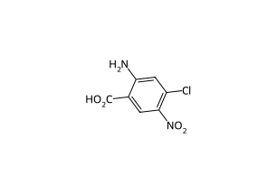 Nc1cc(Cl)c([N+](=O)[O-])cc1C(=O)O